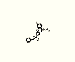 NC1CC2(CN(C(=O)OCc3ccccc3)C2)Oc2cc(F)ccc21